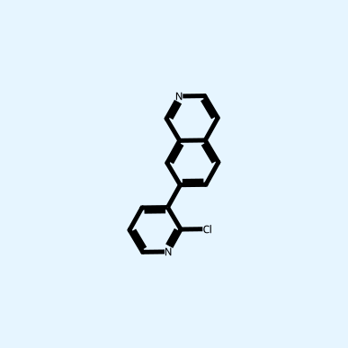 Clc1ncccc1-c1ccc2ccncc2c1